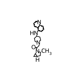 C[C@@H]1C[C@@H]2CC2N1C(=O)CN1CCC(Nc2cccc3ncccc23)CC1